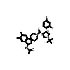 CC(=O)NC1CC2(CCN(C(=O)[C@@H]3CN(C(C)(C)C)C[C@H]3c3ccc(F)cc3F)CC2)c2cc(C)c(C)cc21